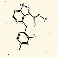 COC(=O)c1n[nH]c2cccc(Cc3ccc(F)cc3Cl)c12